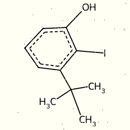 CC(C)(C)c1cccc(O)c1I